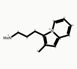 CNCCCc1c(C)cc2ccccn12